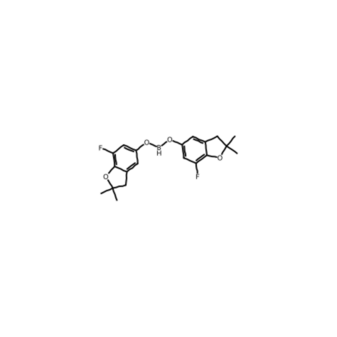 CC1(C)Cc2cc(OBOc3cc(F)c4c(c3)CC(C)(C)O4)cc(F)c2O1